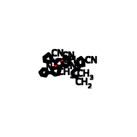 C=C/C=C\c1c(C)c2c(n1-c1cc(C#N)cc(C(C)C/C(=C\C=C)c3c(C#N)cccc3-n3c4ccccc4c4ccccc43)c1)CCC(C#N)=C2